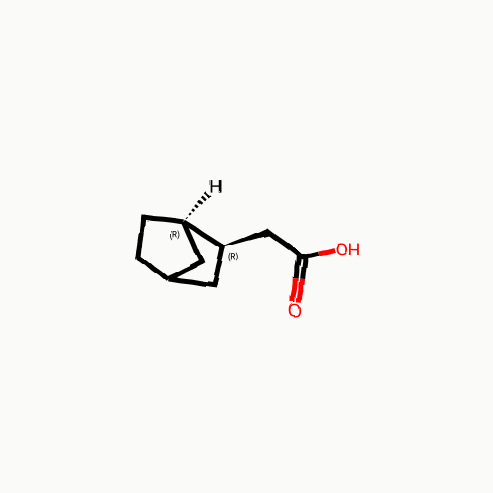 O=C(O)C[C@H]1CC2CC[C@@H]1C2